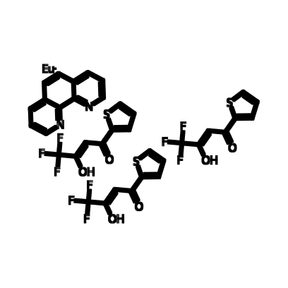 O=C(C=C(O)C(F)(F)F)c1cccs1.O=C(C=C(O)C(F)(F)F)c1cccs1.O=C(C=C(O)C(F)(F)F)c1cccs1.[Eu].c1cnc2c(c1)ccc1cccnc12